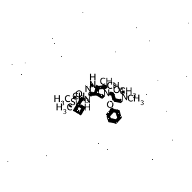 CN(C)CC(Oc1ccccc1)C(=O)N1Cc2c(NC(=O)C3([Si](C)(C)C)CCC3)n[nH]c2C1(C)C